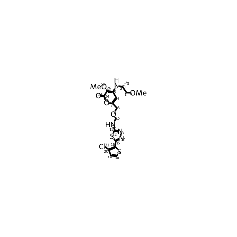 COC[C@@H](C)Nc1cc(COCNc2nnc(-c3sccc3Cl)s2)oc(=O)c1OC